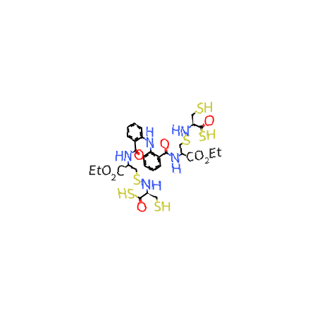 CCOC(=O)C(CSN[C@@H](CS)C(=O)S)NC(=O)c1ccccc1Nc1ccccc1C(=O)NC(CSN[C@@H](CS)C(=O)S)C(=O)OCC